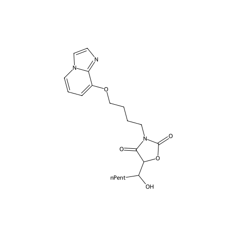 CCCCCC(O)C1OC(=O)N(CCCCOc2cccn3ccnc23)C1=O